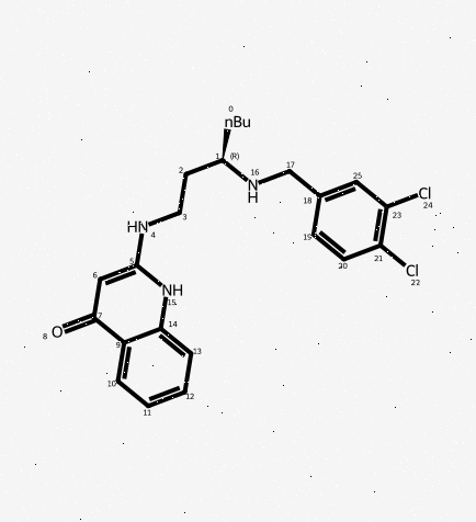 CCCC[C@H](CCNc1cc(=O)c2ccccc2[nH]1)NCc1ccc(Cl)c(Cl)c1